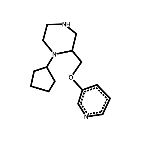 c1cncc(OCC2CNCCN2C2CCCC2)c1